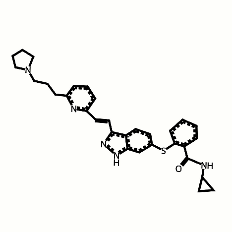 O=C(NC1CC1)c1ccccc1Sc1ccc2c(/C=C/c3cccc(CCCN4CCCC4)n3)n[nH]c2c1